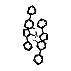 C1=CC(c2ccccc2)=[C]([Zr]([O]c2cccc(-c3ccccc3)c2)([O]c2cccc(-c3ccccc3)c2)[C]2=C(c3ccccc3)C=CC2)C1